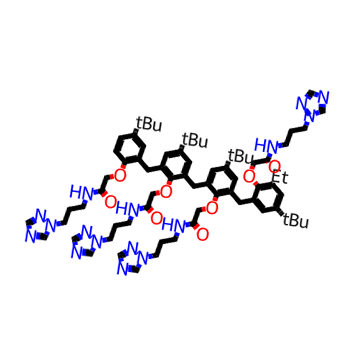 CCc1cc(C(C)(C)C)cc(Cc2cc(C(C)(C)C)cc(Cc3cc(C(C)(C)C)cc(Cc4cc(C(C)(C)C)ccc4OCC(=O)NCCCn4cncn4)c3OCC(=O)NCCCn3cncn3)c2OCC(=O)NCCCn2cncn2)c1OCC(=O)NCCCn1cncn1